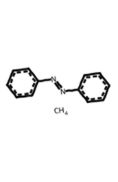 C.c1ccc(/N=N/c2ccccc2)cc1